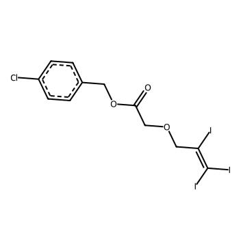 O=C(COCC(I)=C(I)I)OCc1ccc(Cl)cc1